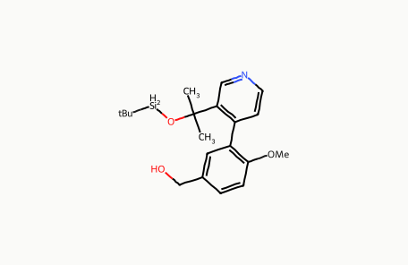 COc1ccc(CO)cc1-c1ccncc1C(C)(C)O[SiH2]C(C)(C)C